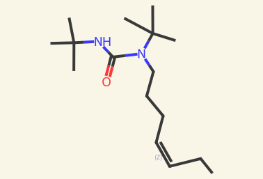 CC/C=C\CCCN(C(=O)NC(C)(C)C)C(C)(C)C